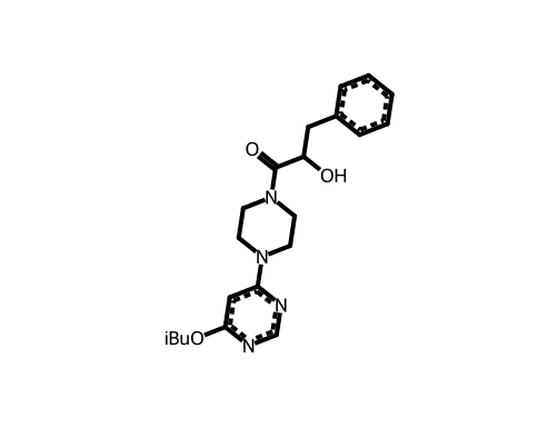 CC(C)COc1cc(N2CCN(C(=O)C(O)Cc3ccccc3)CC2)ncn1